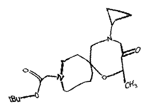 CC1OC2(CCN(C(=O)OC(C)(C)C)CC2)CN(C2CC2)C1=O